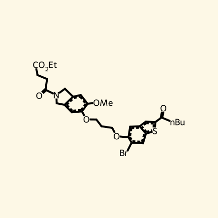 CCCCC(=O)c1cc2cc(OCCCOc3cc4c(cc3OC)CN(C(=O)CCC(=O)OCC)C4)c(Br)cc2s1